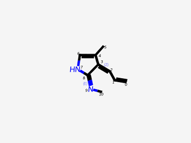 C=C/C=C1/C(C)=CN/C1=N/C